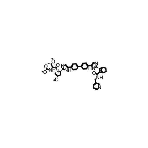 COC(=O)N[C@H](C(=O)N1C[C@@H](OC)C[C@H]1c1ncc(-c2ccc(-c3ccc(-c4cnc([C@H]5C6CCC(C6)C5C(=O)NCc5cccnc5)[nH]4)cc3)cc2)[nH]1)[C@@H](C)OC